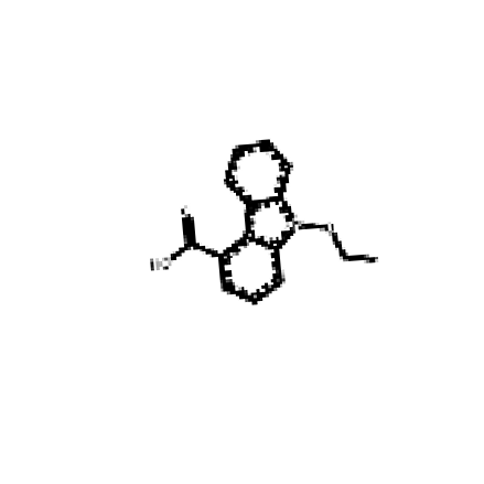 CCOn1c2ccccc2c2c(C(=O)O)cccc21